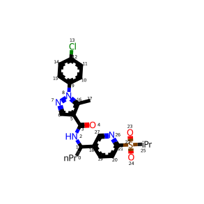 CCCC(NC(=O)c1cnn(-c2ccc(Cl)cc2)c1C)c1ccc(S(=O)(=O)C(C)C)nc1